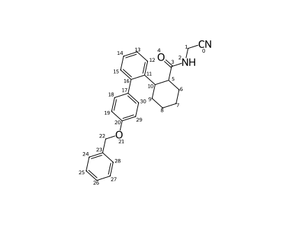 N#CCNC(=O)C1CCCCC1c1ccccc1-c1ccc(OCc2ccccc2)cc1